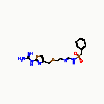 N=C(N)Nc1nc(CSCCN=CNS(=O)(=O)Cc2ccccc2)cs1